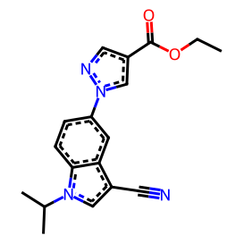 CCOC(=O)c1cnn(-c2ccc3c(c2)c(C#N)cn3C(C)C)c1